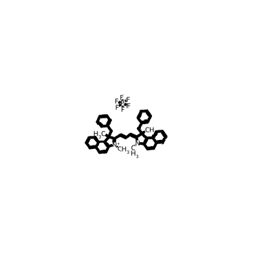 CN1C(=CC=CC2=[N+](C)c3ccc4ccccc4c3C2(C)Cc2ccccc2)C(C)(Cc2ccccc2)c2c1ccc1ccccc21.F[P-](F)(F)(F)(F)F